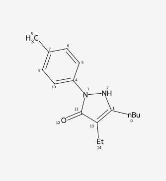 CCCCc1[nH]n(-c2ccc(C)cc2)c(=O)c1CC